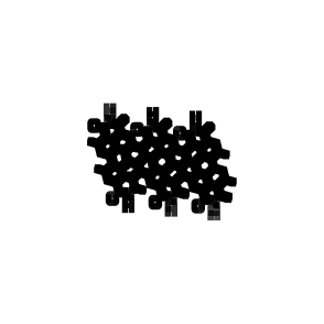 C=c1[nH]c(=O)c2cc3c4c5c2c1=C(C)CC5c1c(C)cc2c(=C)[nH]c(=O)c5c2c1c4c1c5c2cc4c(=C)[nH]c(=O)c5c4c4c2c2c6c7c(cc8c9c%10c%11c(cc(C)c%12c%13cc(C)c%14c(=O)[nH]c(=C)c%15cc%16c5c(c9c(c%11%12)c%16c%13c%15%14)c4c86)C(=O)NC%10C)c(=O)[nH]c(=C)c7c3c12